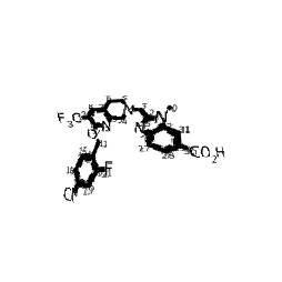 Cn1c(CN2CCc3cc(C(F)(F)F)c(OCc4ccc(Cl)cc4F)nc3C2)nc2ccc(C(=O)O)cc21